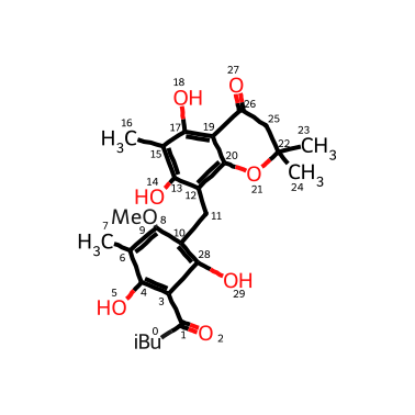 CCC(C)C(=O)c1c(O)c(C)c(OC)c(Cc2c(O)c(C)c(O)c3c2OC(C)(C)CC3=O)c1O